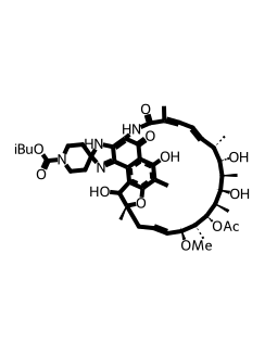 CO[C@H]1/C=C/C[C@@]2(C)Oc3c(C)c(O)c4c(c3C2O)C2=NC3(CCN(C(=O)OCC(C)C)CC3)NC2=C(NC(=O)/C(C)=C\C=C\[C@H](C)[C@H](O)[C@@H](C)[C@@H](O)[C@@H](C)[C@H](OC(C)=O)[C@@H]1C)C4=O